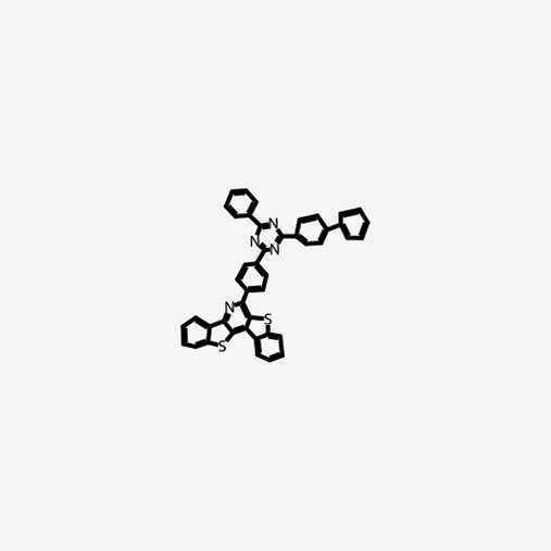 c1ccc(-c2ccc(-c3nc(-c4ccccc4)nc(-c4ccc(-c5nc6c7ccccc7sc6c6c5sc5ccccc56)cc4)n3)cc2)cc1